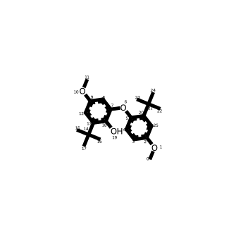 COc1ccc(Oc2cc(OC)cc(C(C)(C)C)c2O)c(C(C)(C)C)c1